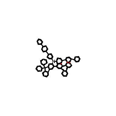 c1ccc(-c2ccc(-c3ccc(N(c4ccc(-c5ccc(-c6ccccc6)cc5)cc4)c4cc5c(cc4-c4ccc6c7ccccc7c7ccccc7c6c4)-c4ccccc4C5(c4ccccc4)c4ccccc4)cc3)cc2)cc1